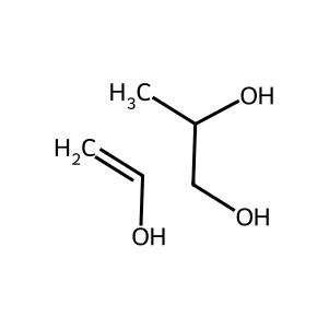 C=CO.CC(O)CO